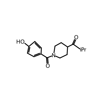 CC(C)C(=O)C1CCN(C(=O)c2ccc(O)cc2)CC1